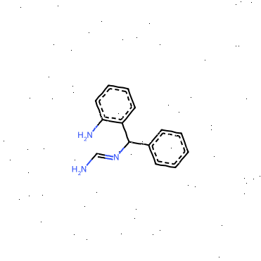 N/C=N/C(c1ccccc1)c1ccccc1N